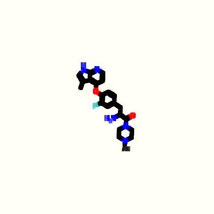 CC(=O)N1CCN(C(=O)C(N)Cc2ccc(Oc3ccnc4[nH]cc(C)c34)c(F)c2)CC1